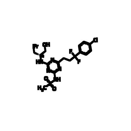 CC(C)C[C@H](CO)Nc1nc(CCC(F)(F)c2ccc(Cl)cc2)nc(NS(C)(=O)=O)n1